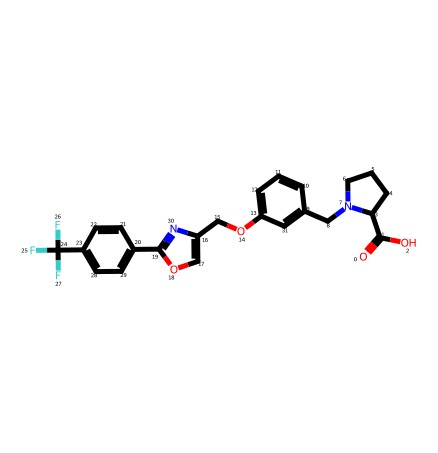 O=C(O)C1CCCN1Cc1cccc(OCc2coc(-c3ccc(C(F)(F)F)cc3)n2)c1